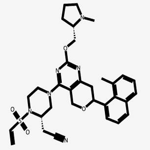 C=CS(=O)(=O)N1CCN(c2nc(OC[C@@H]3CCCN3C)nc3c2COC(c2cccc4cccc(C)c24)C3)C[C@@H]1CC#N